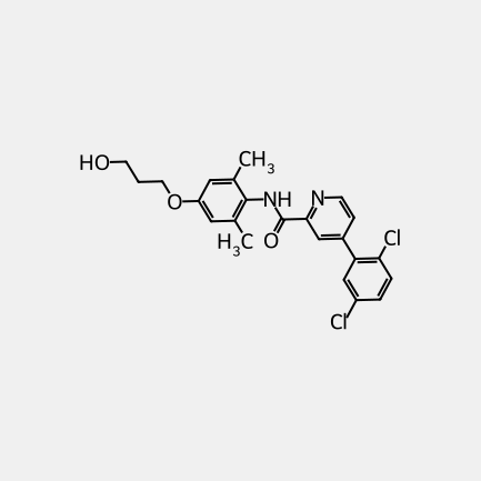 Cc1cc(OCCCO)cc(C)c1NC(=O)c1cc(-c2cc(Cl)ccc2Cl)ccn1